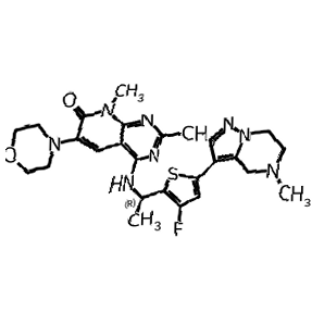 Cc1nc(N[C@H](C)c2sc(-c3cnn4c3CN(C)CC4)cc2F)c2cc(N3CCOCC3)c(=O)n(C)c2n1